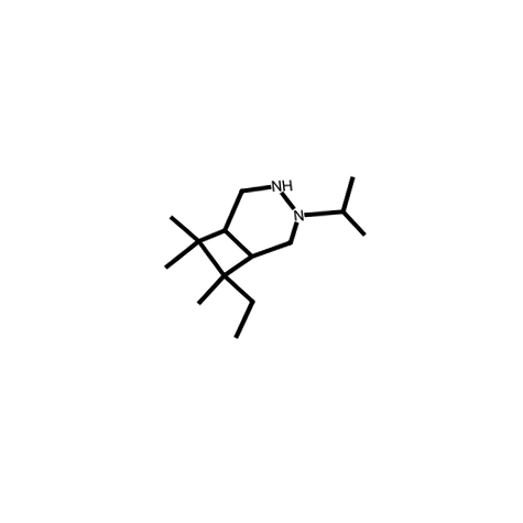 CCC1(C)C2CN(C(C)C)NCC2C1(C)C